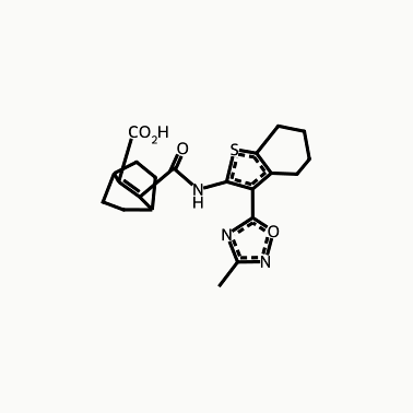 Cc1noc(-c2c(NC(=O)C3=C(C(=O)O)C4CCC3CC4)sc3c2CCCC3)n1